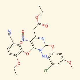 CCOC(=O)CC1=NC(Oc2cc(Cl)cc(OC)c2)N(N)C(Oc2cc(C#N)ccc2OCC)=C1[N+](=O)[O-]